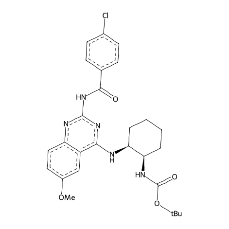 COc1ccc2nc(NC(=O)c3ccc(Cl)cc3)nc(N[C@H]3CCCC[C@H]3NC(=O)OC(C)(C)C)c2c1